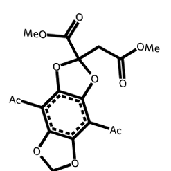 COC(=O)CC1(C(=O)OC)Oc2c(c(C(C)=O)c3c(c2C(C)=O)OCO3)O1